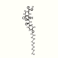 CCCCCCCCCCCCOc1ccc(C(=O)CC(=O)Nc2cc(C(=O)OC)ccc2Cl)cc1